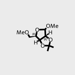 COC[C@H]1OC(OC)[C@@H]2OC(C)(C)O[C@H]12